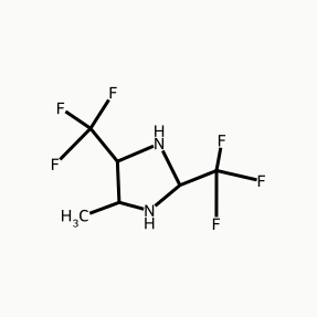 CC1NC(C(F)(F)F)NC1C(F)(F)F